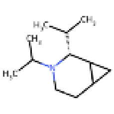 CC(C)[C@@H]1C2CC2CCN1C(C)C